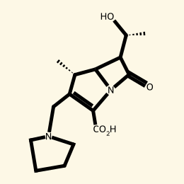 C[C@@H](O)C1C(=O)N2C(C(=O)O)=C(CN3CCCC3)[C@H](C)C12